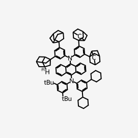 CC(C)(C)c1cc(N(c2cc(C3CCCCC3)cc(C3CCCCC3)c2)c2c3ccccc3c(N(c3cc(C45CC6CC(CC4C6)C5)cc(C45CC6CC(CC4C6)C5)c3)c3cc(C45CC6CC(CC4C6)C5)cc(C45CC6CC4C[C@@H](C6)C5)c3)c3ccccc23)cc(C(C)(C)C)c1